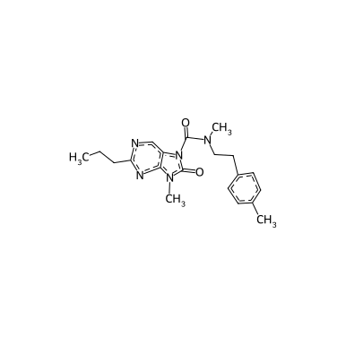 CCCc1ncc2c(n1)n(C)c(=O)n2C(=O)N(C)CCc1ccc(C)cc1